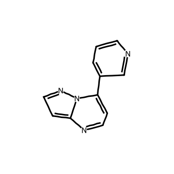 c1cncc(-c2ccnc3ccnn23)c1